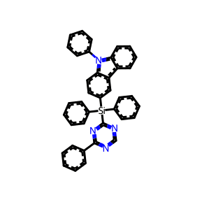 c1ccc(-c2ncnc([Si](c3ccccc3)(c3ccccc3)c3ccc4c(c3)c3ccccc3n4-c3ccccc3)n2)cc1